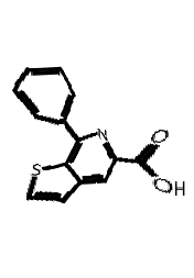 O=C(O)c1cc2ccsc2c(-c2ccccc2)n1